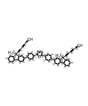 C#CC#CC#CC1(C)c2ccccc2-c2ccc(-c3ccc(-c4nnc(-c5ccc(-c6ccc7c(c6)C(C)(C#CC#CC#C)c6ccccc6-7)cc5)o4)cc3)cc21